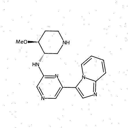 CO[C@H]1CCNC[C@@H]1Nc1cncc(-c2cnc3ccccn23)n1